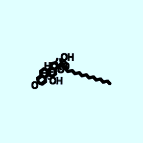 CCCCCCCCCCCCCC(=O)O[C@]1(C(=O)CO)[C@H](C)C[C@H]2[C@@H]3CCC4=CC(=O)C=C[C@]4(C)[C@@]3(F)[C@@H](O)C[C@@]21C